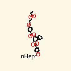 C=CC(=O)OCCCOc1ccc(C(=O)Oc2ccc(OC(=O)c3ccc(OCCCCCCC)cc3)c3c2C2CCC3C2)cc1